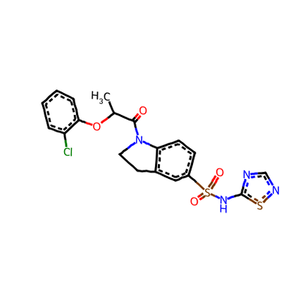 CC(Oc1ccccc1Cl)C(=O)N1CCc2cc(S(=O)(=O)Nc3ncns3)ccc21